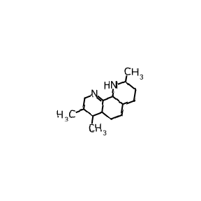 CC1CCC2CCC3C(=NCC(C)C3C)C2N1